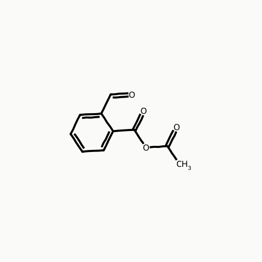 CC(=O)OC(=O)c1ccccc1C=O